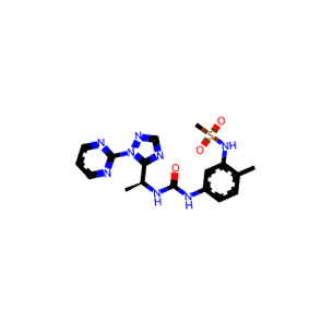 Cc1ccc(NC(=O)N[C@@H](C)c2ncnn2-c2ncccn2)cc1NS(C)(=O)=O